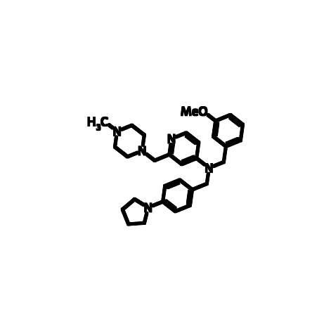 COc1cccc(CN(Cc2ccc(N3CCCC3)cc2)c2ccnc(CN3CCN(C)CC3)c2)c1